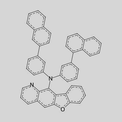 c1cc(-c2ccc3ccccc3c2)cc(N(c2cccc(-c3cccc4ccccc34)c2)c2c3ncccc3cc3oc4ccccc4c23)c1